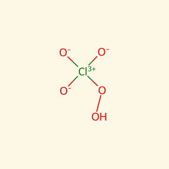 [O-][Cl+3]([O-])([O-])OO